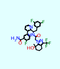 CC1(O)CCCc2c(C(F)(F)F)nn(CC(=O)NC(Cc3cc(F)cc(F)c3)c3ncccc3-c3ccc(F)c(C(N)=O)c3)c21